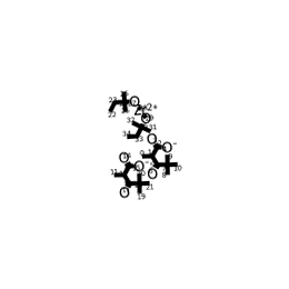 CC(C(=O)[O-])C(=O)C(C)(C)C.CC(C(=O)[O-])C(=O)C(C)(C)C.CCC(C)(C)[O][Zr+2][O]C(C)(C)CC